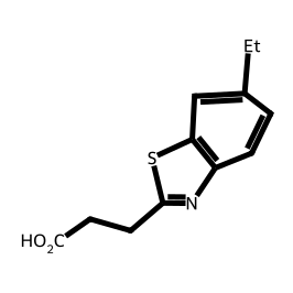 CCc1ccc2nc(CCC(=O)O)sc2c1